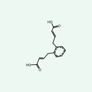 O=C(O)C=CCc1ccccc1CC=CC(=O)O